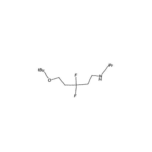 CC(C)NCCC(F)(F)CCOC(C)(C)C